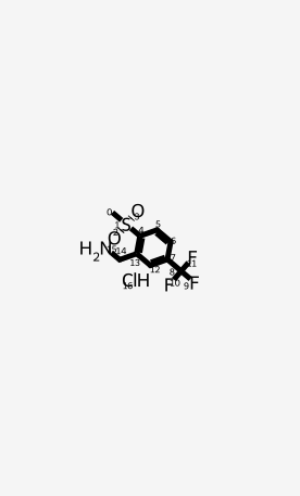 CS(=O)(=O)c1ccc(C(F)(F)F)cc1CN.Cl